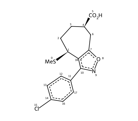 CS[C@H]1CC[C@@H](C(=O)O)Cc2onc(-c3ccc(Cl)cc3)c21